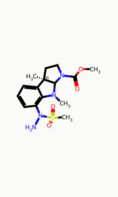 COC(=O)N1CC[C@]2(C)c3cccc(N(N)S(C)(=O)=O)c3N(C)C12